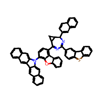 c1ccc2cc(C3N=C(c4ccc5sc6ccccc6c5c4)N=C(c4ccc(-n5c6cc7ccccc7cc6c6cc7ccccc7cc65)c5oc6ccccc6c45)C4CC43)ccc2c1